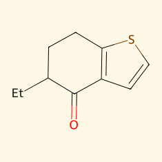 CCC1CCc2sccc2C1=O